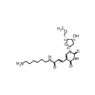 COC[C@H]1O[C@@H](n2cc(/C=C/C(=O)NCCCCCCN)c(=O)[nH]c2=O)C[C@H]1O